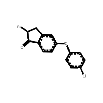 O=C1c2ccc(Oc3ccc(Cl)cc3)cc2CC1Br